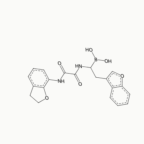 O=C(Nc1cccc2c1OCC2)C(=O)NC(Cc1coc2ccccc12)B(O)O